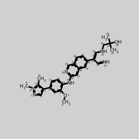 COc1cc(-c2cnn(C)c2C)ccc1Nc1cc2cc(/C(C=N)=C/NCC(C)(C)O)ccc2cn1